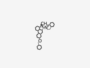 CN1c2cccc3c2c(cc2cc(OCc4ccccc4)ccc23)C1N1CCc2ccccc2C1